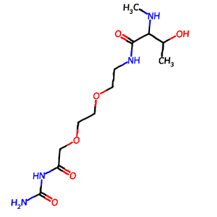 CNC(C(=O)NCCOCCOCC(=O)NC(N)=O)C(C)O